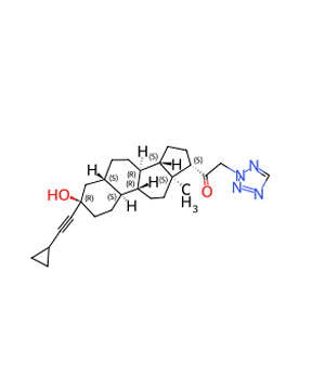 C[C@]12CC[C@H]3[C@@H](CC[C@H]4C[C@@](O)(C#CC5CC5)CC[C@@H]43)[C@@H]1CC[C@@H]2C(=O)Cn1ncnn1